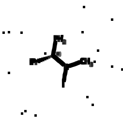 CB(I)[C@@H](P)C(C)C